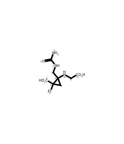 CCC1(C(=O)O)CC1(CNC(N)=O)NCC(=O)O